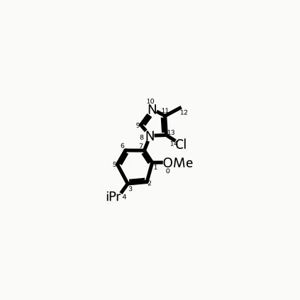 COc1cc(C(C)C)ccc1-n1cnc(C)c1Cl